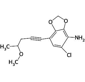 COC(C)CC#Cc1cc(Cl)c(N)c2c1OCO2